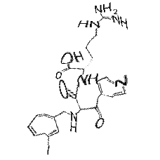 N=C(N)NCCC[C@H](NC(=O)C(NCc1cccc(I)c1)C(=O)c1ccncc1)C(=O)O